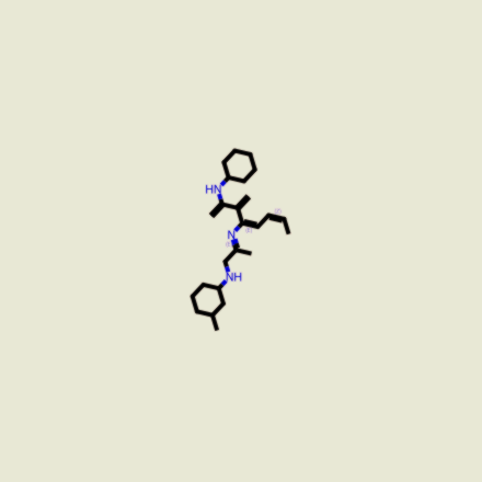 C=C(NC1CCCCC1)C(=C)C(=C\C=C/C)/N=C(\C)CNC1CCCC(C)C1